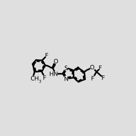 Cc1ccc(F)c(C(=O)Nc2nc3ccc(OC(F)(F)F)cc3s2)c1F